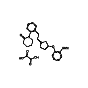 COc1ccccc1OC1CCN(CCc2ccccc2N2CCCCC2=O)C1.O=C(O)C(=O)O